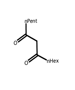 CCCCCCC(=O)CC(=O)CCCCC